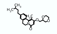 Cc1c(OCC2COCCO2)cc(=O)n2c1-c1ccc(CCC(C)C)cc1CC2